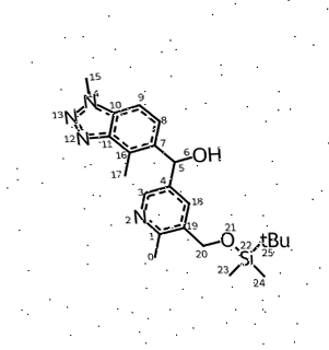 Cc1ncc(C(O)c2ccc3c(nnn3C)c2C)cc1CO[Si](C)(C)C(C)(C)C